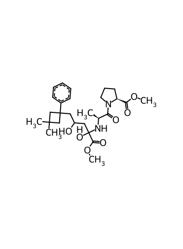 COC(=O)[C@@H]1CCCN1C(=O)[C@H](C)NC(O)(CC(O)CC1(c2ccccc2)CC(C)(C)C1)C(=O)OC